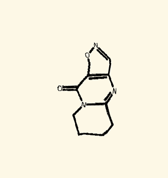 O=c1c2oncc2nc2n1CCCC2